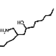 CCCCCCC(O)CC(CN)CCCC